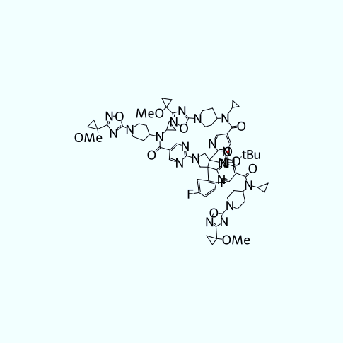 COC1(c2noc(N3CCC(N(C(=O)c4cnc(N5CC(NC(=O)OC(C)(C)C)(c6ncc(C(=O)N(C7CC7)C7CCN(c8nc(C9(OC)CC9)no8)CC7)cn6)C(c6ncc(C(=O)N(C7CC7)C7CCN(c8nc(C9(OC)CC9)no8)CC7)cn6)(c6cc(F)ccc6F)C5)nc4)C4CC4)CC3)n2)CC1